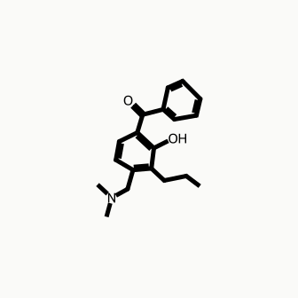 CCCc1c(CN(C)C)ccc(C(=O)c2ccccc2)c1O